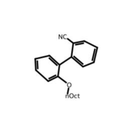 CCCCCCCCOc1ccccc1-c1ccccc1C#N